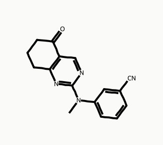 CN(c1cccc(C#N)c1)c1ncc2c(n1)CCCC2=O